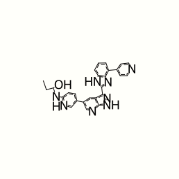 CCC(O)Nc1ccc(-c2cnc3[nH]nc(-c4nc5c(-c6ccncc6)cccc5[nH]4)c3c2)cn1